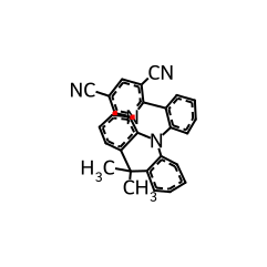 CC1(C)c2ccccc2N(c2ccccc2-c2ncc(C#N)cc2C#N)c2ccccc21